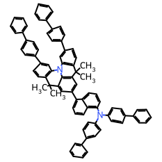 CC1(C)c2ccc(-c3ccc(-c4ccccc4)cc3)cc2N2c3cc(-c4ccc(-c5ccccc5)cc4)ccc3C(C)(C)c3cc(-c4cccc5c(N(c6ccc(-c7ccccc7)cc6)c6ccc(-c7ccccc7)cc6)cccc45)cc1c32